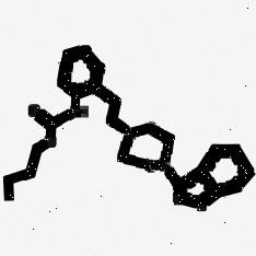 CCCCOC(=O)Nc1ccccc1CCN1CCN(c2nsc3ccccc23)CC1